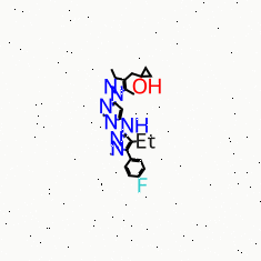 CCc1c(Nc2cc(-n3nc(C)c(CC4(O)CC4)c3C)ncn2)nn(C)c1-c1ccc(F)cc1